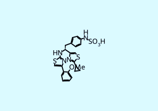 COc1ccccc1-c1csc(N[C@@H](Cc2ccc(NS(=O)(=O)O)cc2)c2csc(C3CC3)n2)n1